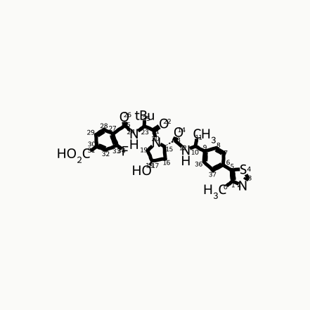 Cc1ncsc1-c1ccc(C(C)NC(=O)[C@@H]2C[C@@H](O)CN2C(=O)C(NC(=O)c2ccc(C(=O)O)cc2F)C(C)(C)C)cc1